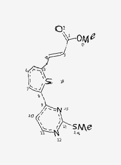 COC(=O)C=Cc1ccc(-c2ccnc(SC)n2)s1